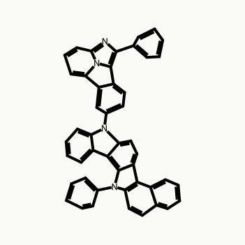 c1ccc(-c2nc3cccc4c5cc(-n6c7ccccc7c7c6ccc6c8c9ccccc9ccc8n(-c8ccccc8)c67)ccc5c2n34)cc1